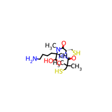 CN(C(=O)[C@H](CS)NC(=O)C(C)(C)CS)[C@@](C)(CCCCN)C(=O)O